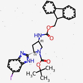 CC(C)(C)OC(=O)N1C[C@H](NC(=O)OCC2c3ccccc3-c3ccccc32)C[C@H]1c1nc2ccc(I)cc2[nH]1